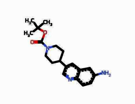 CC(C)(C)OC(=O)N1CCC(c2cnc3ccc(N)cc3c2)CC1